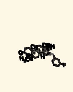 CN1C(=O)C=C[C@]2(C)C3CC[C@@]4(C)[C@@H](C[C@@H](Cc5cccc(F)c5)[C@@H]4O)C3CC[C@@H]12